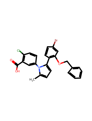 Cc1ccc(-c2ccc(Br)cc2OCc2ccccc2)n1-c1ccc(Cl)c(C(=O)O)c1